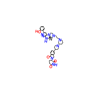 O=C1CCC(N2Cc3cc(C4CCN(C5CCCN(CCCN6CCN7c8cc(-c9ccccc9O)nnc8NC[C@H]7C6)C5)CC4)ccc3C2=O)C(=O)N1